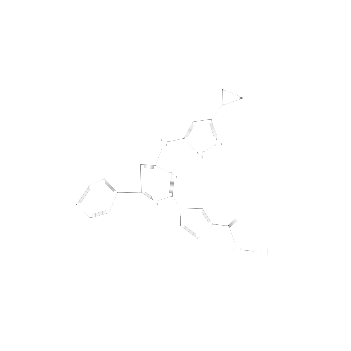 COC(=O)C1=C[SH](c2nc(Nc3cc(C4CC4)n[nH]3)cc(-c3ccccc3)n2)C=C1